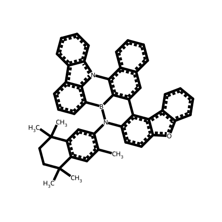 Cc1cc2c(cc1N1B3c4c(cc5ccccc5c4-n4c5ccccc5c5cccc3c54)-c3c1ccc1oc4ccccc4c31)C(C)(C)CCC2(C)C